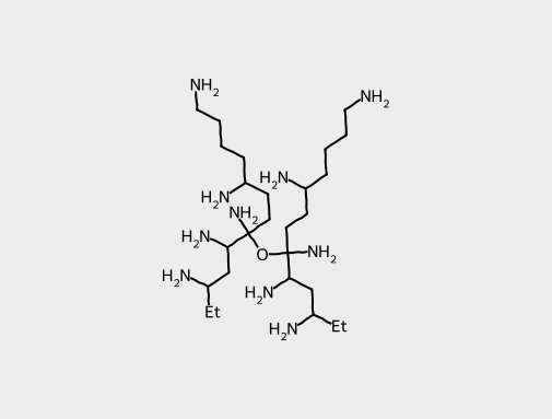 CCC(N)CC(N)C(N)(CCC(N)CCCCN)OC(N)(CCC(N)CCCCN)C(N)CC(N)CC